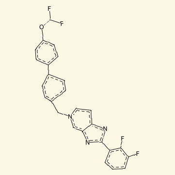 Fc1cccc(-c2nc3ccn(Cc4ccc(-c5ccc(OC(F)F)cc5)cc4)cc-3n2)c1F